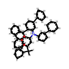 CC1(C)c2ccccc2-c2ccc(N(c3cccc(-c4ccccc4)c3)c3cc(-c4ccccc4)ccc3-c3cc4ccccc4c4ccccc34)cc21